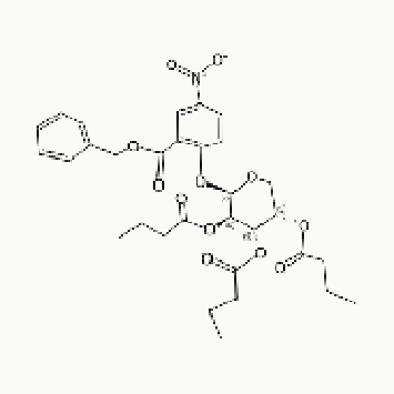 CCCC(=O)O[C@@H]1[C@@H](OC(=O)CCC)[C@@H](Oc2ccc([N+](=O)[O-])cc2C(=O)OCc2ccccc2)OC[C@@H]1OC(=O)CCC